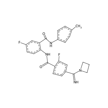 Cc1ccc(NC(=O)c2cc(F)ccc2NC(=O)c2ccc(C(=N)N3CCC3)cc2F)cc1